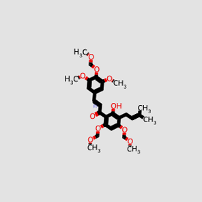 COCOc1cc(OCOC)c(C(=O)/C=C/c2cc(OC)c(OCOC)c(OC)c2)c(O)c1CC=C(C)C